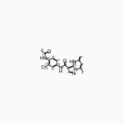 C=C1C=C(C)n2ncc(C(=O)Nc3ccc(NC(C)=O)c(Cl)c3)c2N1